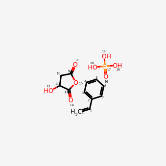 C=Cc1ccccc1.O=C1CC(O)C(=O)O1.O=P(O)(O)O